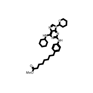 COC(=O)CCCCCCCc1ccc(Nc2nc(NC3CCCCC3)c3ncn(C4CCCCO4)c3n2)cc1